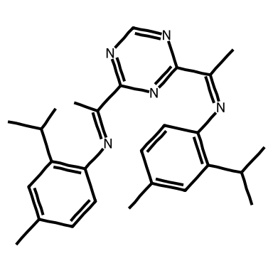 CC(=Nc1ccc(C)cc1C(C)C)c1ncnc(C(C)=Nc2ccc(C)cc2C(C)C)n1